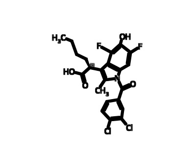 CCCC[C@H](C(=O)O)c1c(C)n(C(=O)c2ccc(Cl)c(Cl)c2)c2cc(F)c(O)c(F)c12